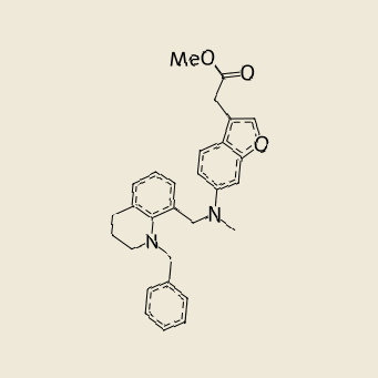 COC(=O)Cc1coc2cc(N(C)Cc3cccc4c3N(Cc3ccccc3)CCC4)ccc12